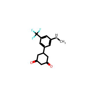 CBc1cc(C2CC(=O)CC(=O)C2)cc(C(F)(F)F)c1